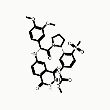 COC(=O)Nc1ccc(S(C)(=O)=O)c([C@H]2CCCN2C(=O)[C@H](Nc2ccc3c(=O)[nH][nH]c(=O)c3c2)c2ccc(OC)c(OC)c2)c1